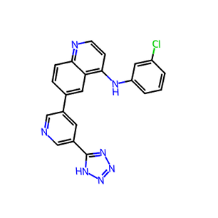 Clc1cccc(Nc2ccnc3ccc(-c4cncc(-c5nnn[nH]5)c4)cc23)c1